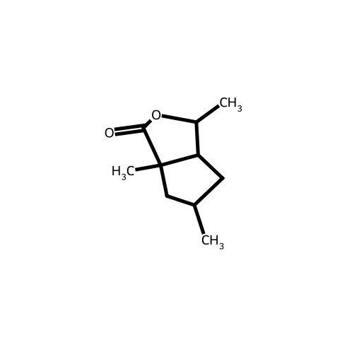 CC1CC2C(C)OC(=O)C2(C)C1